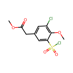 COC(=O)Cc1cc(Cl)c(OC)c(S(=O)(=O)Cl)c1